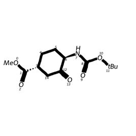 COC(=O)[C@@H]1CC[C@@H](NC(=O)OC(C)(C)C)C(=O)C1